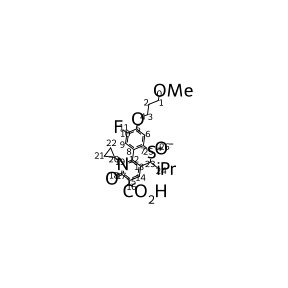 COCCCOc1cc2c(cc1F)-c1c(cc(C(=O)O)c(=O)n1C1CC1)C(C(C)C)[S+]2[O-]